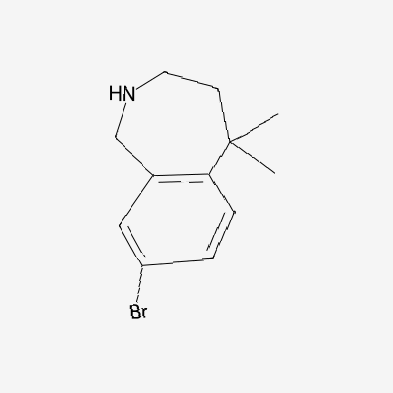 CC1(C)CCNCc2cc(Br)ccc21